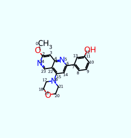 COc1cc2nc(-c3cccc(O)c3)cc(N3CCOCC3)c2cn1